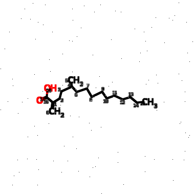 C=C(CCC(C)CCCCCCCCCC)C(=O)O